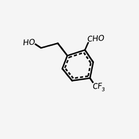 O=Cc1cc(C(F)(F)F)ccc1CCO